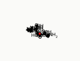 Nc1ccc[n+]([C@@H]2O[C@H](COP(=O)([O-])OP(=O)(O)OC[C@H]3O[C@@H](n4cnc5c4ncn4ccnc54)[C@H](OP(=O)(O)O)[C@@H]3O)[C@@H](O)[C@H]2O)c1